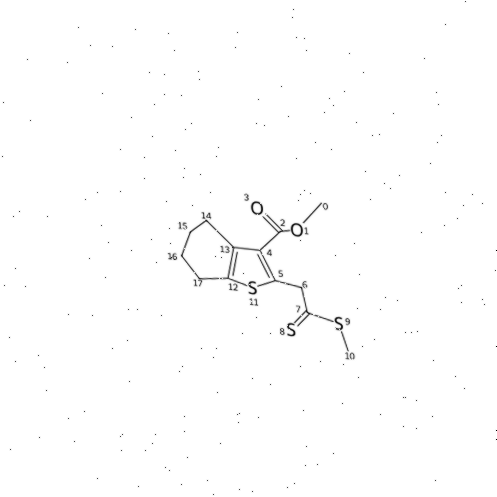 COC(=O)c1c(CC(=S)SC)sc2c1CCCC2